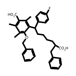 Cc1c(C)c(C(=O)O)c(C)c(C(CCCCC(Cc2ccccc2)C(=O)O)c2ccc(F)cc2)c1OCc1ccccc1